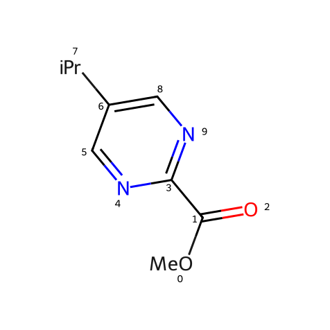 COC(=O)c1ncc(C(C)C)cn1